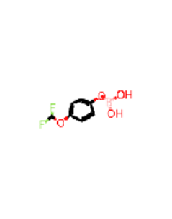 OB(O)Oc1ccc(OC(F)F)cc1